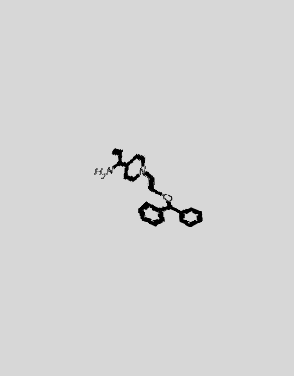 C=C[C](N)C1CCN(CCOC(c2ccccc2)c2ccccc2)CC1